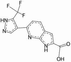 O=C(O)c1cc2ccc(-c3cn[nH]c3C(F)(F)F)nc2[nH]1